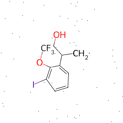 [CH2]C(CO)c1cccc(I)c1OC(F)(F)F